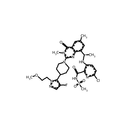 COCCn1ncc(F)c1C1CCN(c2nc3c([C@@H](C)Nc4ccc(Cl)nc4C(=O)NS(C)(=O)=O)cc(C)cc3c(=O)n2C)CC1